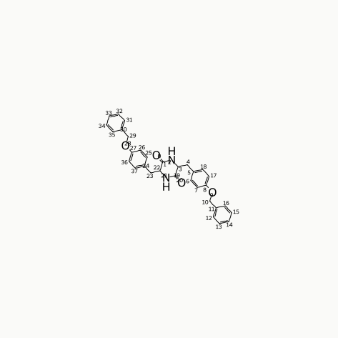 O=C1NC(Cc2ccc(OCc3ccccc3)cc2)C(=O)NC1Cc1ccc(OCc2ccccc2)cc1